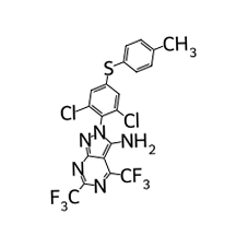 Cc1ccc(Sc2cc(Cl)c(-n3nc4nc(C(F)(F)F)nc(C(F)(F)F)c4c3N)c(Cl)c2)cc1